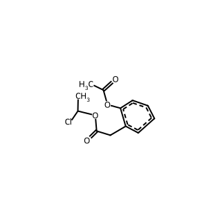 CC(=O)Oc1ccccc1CC(=O)OC(C)Cl